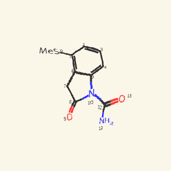 CSc1cccc2c1CC(=O)N2C(N)=O